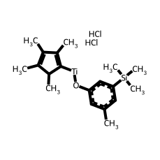 CC1=C(C)C(C)[C]([Ti][O]c2cc(C)cc([Si](C)(C)C)c2)=C1C.Cl.Cl